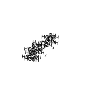 C=C1C[C@@]23CC[C@H]4C([C@@H](C)CC[C@@]4(C)C(=O)OC4OC(CO)C(O)C(O)C4O)[C@@H]2CC[C@]1(OC1OC(CO)C(O)C(O)C1OC1OC(CO)C(O)C(O)C1O)C3